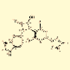 Cn1cc(-c2cc(F)c([C@@H]3[C@H](O)C(=O)N3c3ccc4[nH]cnc4c3)c(F)c2)cn1